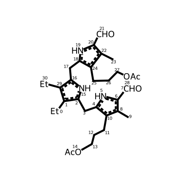 CCc1c(Cc2[nH]c(C=O)c(C)c2CCCOC(C)=O)[nH]c(Cc2[nH]c(C=O)c(C)c2CCCOC(C)=O)c1CC